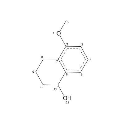 COc1cccc2c1CCC[C]2O